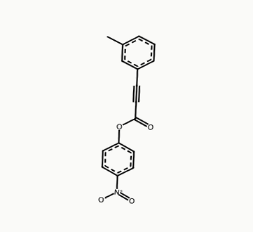 Cc1cccc(C#CC(=O)Oc2ccc([N+](=O)[O-])cc2)c1